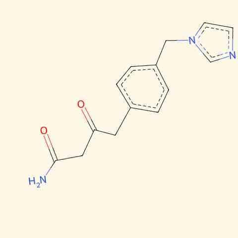 NC(=O)CC(=O)Cc1ccc(Cn2ccnc2)cc1